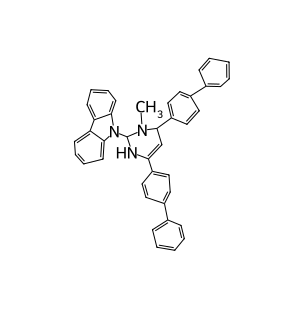 CN1C(c2ccc(-c3ccccc3)cc2)C=C(c2ccc(-c3ccccc3)cc2)NC1n1c2ccccc2c2ccccc21